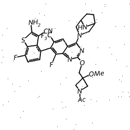 COC1(COc2nc(N3CC4CCC(C3)N4)c3cc(C(F)(F)F)c(-c4ccc(F)c5sc(N)c(C#N)c45)c(F)c3n2)CN(C(C)=O)C1